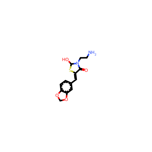 NCCN1C(=O)/C(=C/c2ccc3c(c2)OCO3)SC1O